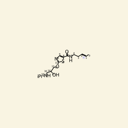 C/C=C/CCNC(=O)c1cnc(OCC(O)CNC(C)C)s1